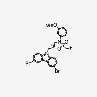 COc1cccc(N(/C=C/Cn2c3ccc(Br)cc3c3cc(Br)ccc32)S(=O)(=O)CF)c1